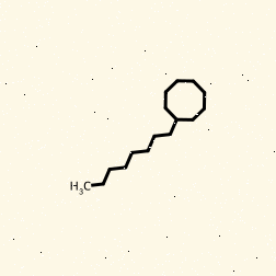 CCCCCCCC[C]1CCCCCCC1